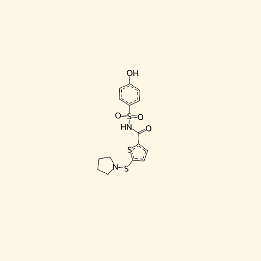 O=C(NS(=O)(=O)c1ccc(O)cc1)c1ccc(SN2CCCC2)s1